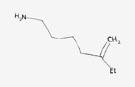 C=C(CC)CCCCN